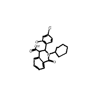 O=C(O)C1c2ccccc2C(=O)N(C2CCCCC2)C1c1ccc(Cl)cc1Cl